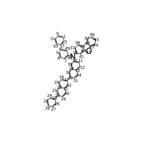 c1ccc(-c2cccc(N(c3ccc4ccc(-c5ccc6cc(-c7ccccc7)ccc6c5)cc4c3)c3ccc4c(c3)oc3ccccc34)c2)cc1